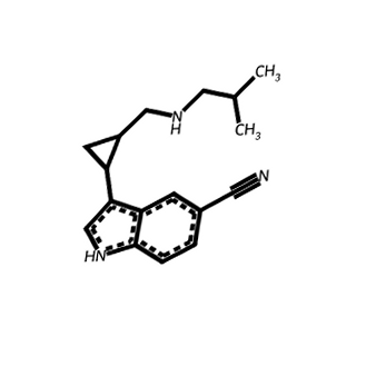 CC(C)CNCC1CC1c1c[nH]c2ccc(C#N)cc12